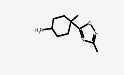 Cc1noc(C2(C)CCC(N)CC2)n1